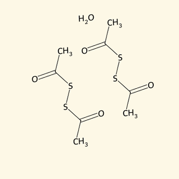 CC(=O)SSC(C)=O.CC(=O)SSC(C)=O.O